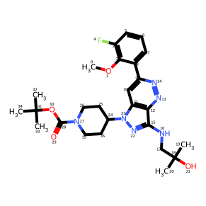 COc1c(F)cccc1-c1cc2c(nn1)c(NCC(C)(C)O)nn2C1CCN(C(=O)OC(C)(C)C)CC1